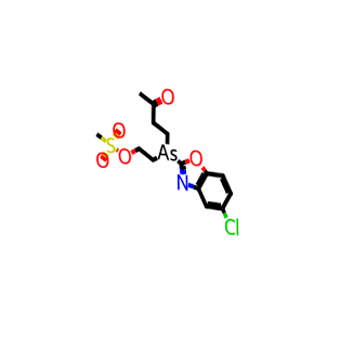 CC(=O)CC[As](CCOS(C)(=O)=O)c1nc2cc(Cl)ccc2o1